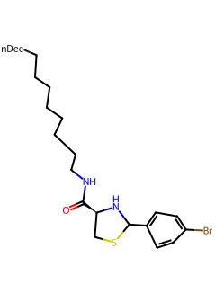 CCCCCCCCCCCCCCCCCCNC(=O)[C@@H]1CSC(c2ccc(Br)cc2)N1